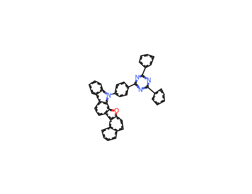 c1ccc(-c2nc(-c3ccccc3)nc(-c3ccc(-n4c5ccccc5c5ccc6c(oc7ccc8ccccc8c76)c54)cc3)n2)cc1